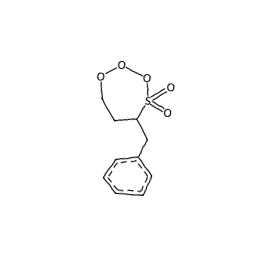 O=S1(=O)OOOCCC1Cc1ccccc1